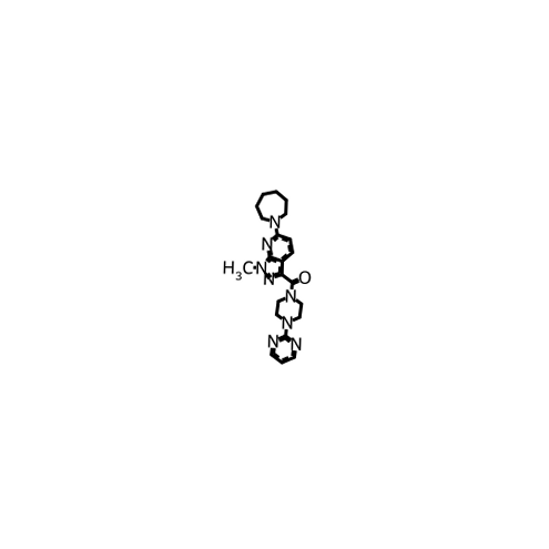 Cn1nc(C(=O)N2CCN(c3ncccn3)CC2)c2ccc(N3CCCCCC3)nc21